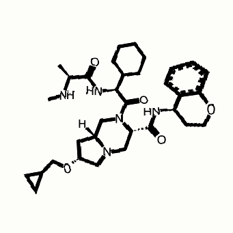 CN[C@@H](C)C(=O)N[C@H](C(=O)N1C[C@H]2C[C@@H](OCC3CC3)CN2C[C@H]1C(=O)N[C@@H]1CCOc2ccccc21)C1CCCCC1